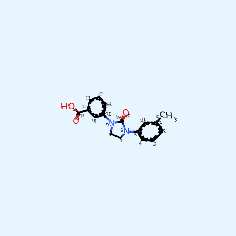 Cc1cccc(N2CCN(c3cccc(C(=O)O)c3)C2=O)c1